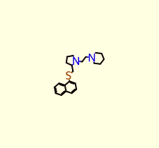 c1ccc2c(SCC3CCCN3CCN3CCCCC3)cccc2c1